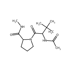 CNC(=O)C1CCCN1C(=O)C(NC(C)=O)C(C)(C)C